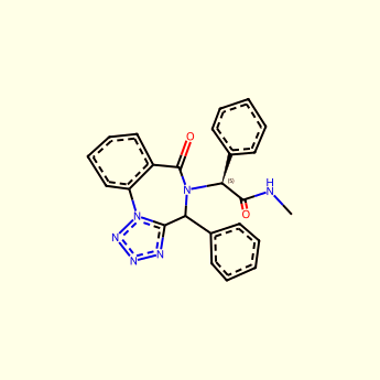 CNC(=O)[C@H](c1ccccc1)N1C(=O)c2ccccc2-n2nnnc2C1c1ccccc1